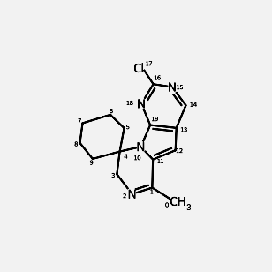 CC1=NCC2(CCCCC2)n2c1cc1cnc(Cl)nc12